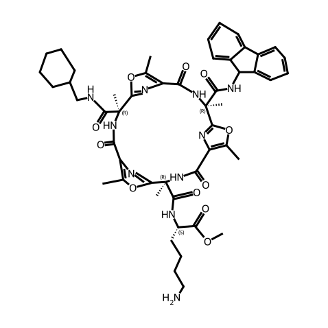 COC(=O)[C@H](CCCCN)NC(=O)[C@]1(C)NC(=O)c2nc(oc2C)[C@](C)(C(=O)NC2c3ccccc3-c3ccccc32)NC(=O)c2nc(oc2C)[C@](C)(C(=O)NCC2CCCCC2)NC(=O)c2nc1oc2C